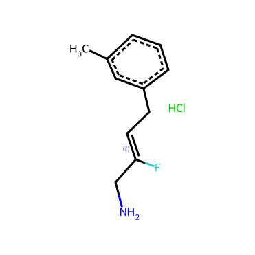 Cc1cccc(C/C=C(\F)CN)c1.Cl